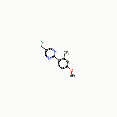 CCCOc1ccc(-c2ncc(CCl)cn2)c(C(F)(F)F)c1